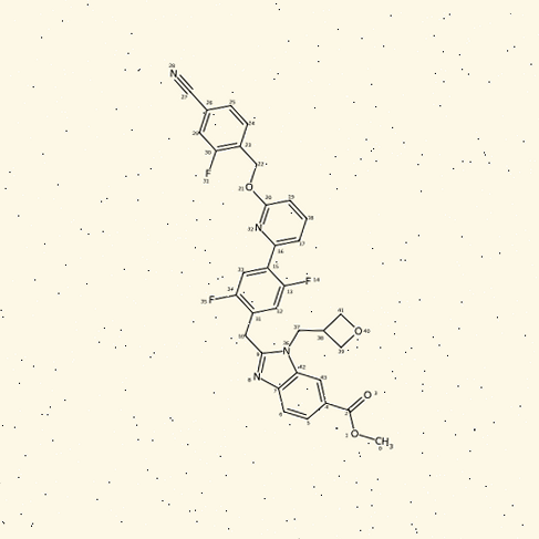 COC(=O)c1ccc2nc(Cc3cc(F)c(-c4cccc(OCc5ccc(C#N)cc5F)n4)cc3F)n(CC3COC3)c2c1